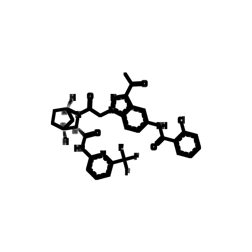 CC(=O)c1nn(CC(=O)N2[C@@H]3CC[C@@H](C3)[C@H]2C(=O)Nc2cccc(C(F)(F)F)n2)c2ccc(NC(=O)c3ccccc3Cl)cc12